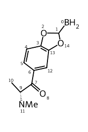 BC1Oc2ccc(C(=O)[C@@H](C)NC)cc2O1